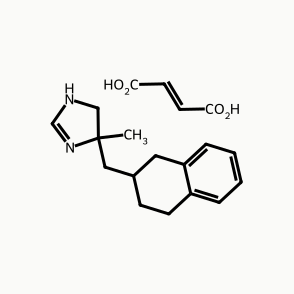 CC1(CC2CCc3ccccc3C2)CNC=N1.O=C(O)C=CC(=O)O